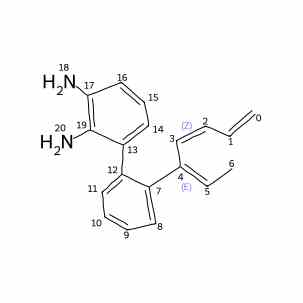 C=C/C=C\C(=C/C)c1ccccc1-c1cccc(N)c1N